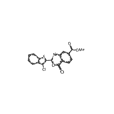 COC(=O)c1ccc2c(=O)oc(-c3sc4ccccc4c3Cl)nc2c1